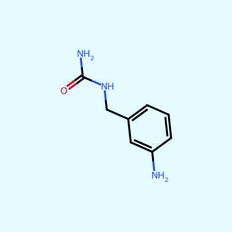 NC(=O)NCc1cccc(N)c1